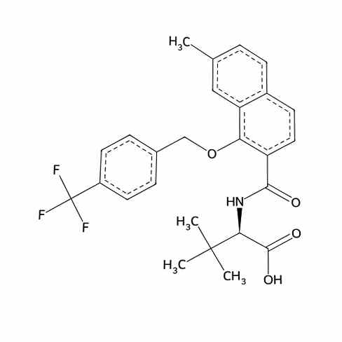 Cc1ccc2ccc(C(=O)N[C@@H](C(=O)O)C(C)(C)C)c(OCc3ccc(C(F)(F)F)cc3)c2c1